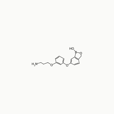 NCCCOc1cccc(Oc2ccc3c(c2)B(O)OC3)c1